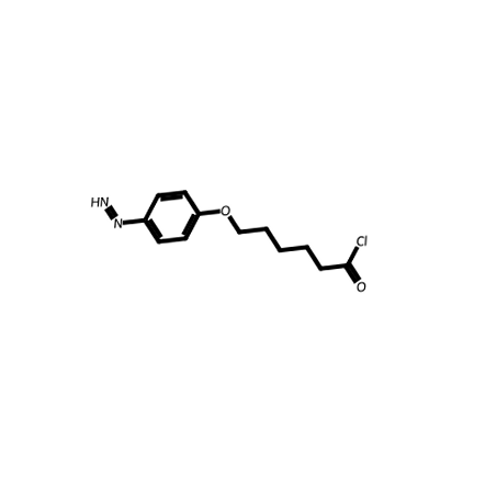 N=Nc1ccc(OCCCCCC(=O)Cl)cc1